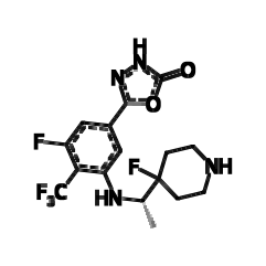 C[C@H](Nc1cc(-c2n[nH]c(=O)o2)cc(F)c1C(F)(F)F)C1(F)CCNCC1